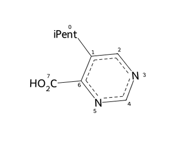 CCCC(C)c1cncnc1C(=O)O